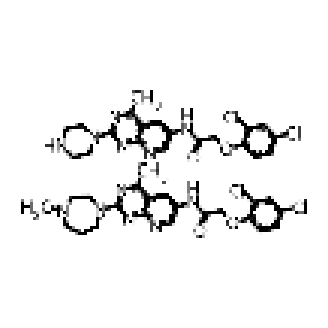 Cc1nc(N2CCCN(C)CC2)nc2ncc(NC(=O)COc3ccc(Cl)cc3Cl)cc12.Cc1nc(N2CCNCC2)nc2ncc(NC(=O)COc3ccc(Cl)cc3Cl)cc12